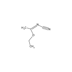 CCO/C(C)=N\C#N